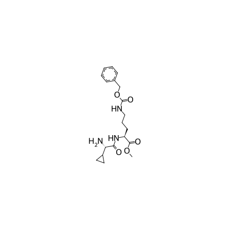 COC(=O)[C@H](CCCNC(=O)OCc1ccccc1)NC(=O)[C@@H](N)C1CC1